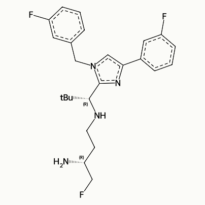 CC(C)(C)[C@@H](NCC[C@@H](N)CF)c1nc(-c2cccc(F)c2)cn1Cc1cccc(F)c1